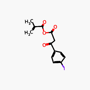 C=C(C)C(=O)OC(=O)CC(=O)c1ccc(I)cc1